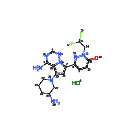 Cl.Nc1ncnn2c(-c3ccc(=O)n(CC(F)F)n3)cc(N3CCCC(N)C3)c12